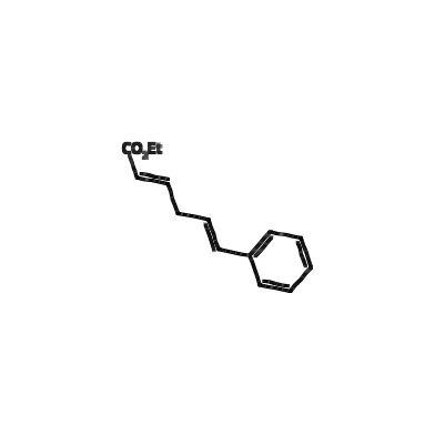 CCOC(=O)C=CCC=Cc1ccccc1